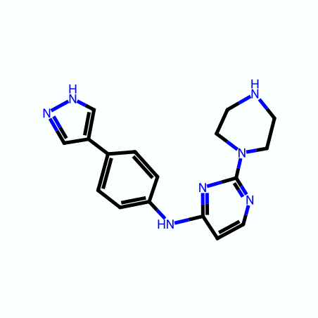 c1cc(Nc2ccc(-c3cn[nH]c3)cc2)nc(N2CCNCC2)n1